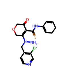 NN(Cc1ccncc1Br)C1=C(C(=S)NC2=CCCC=C2)C(=O)COC1